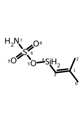 CC(C)=C[SiH2]OS(N)(=O)=O